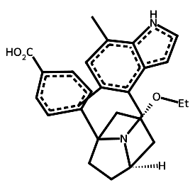 CCO[C@@H]1C[C@H]2CCC(c3ccc(C(=O)O)cc3)(C1)N2Cc1c(C)cc(C)c2[nH]ccc12